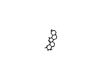 CC1(C)CC[C@]2(C=O)CC[C@]3(C)C(C(=O)C=C4[C@@]5(C)C=C(I)C(=O)C(C)(C)[C@@H]5CC[C@]43C)C2C1